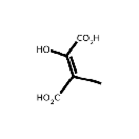 CC(C(=O)O)=C(O)C(=O)O